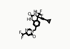 O=C1Nc2cc(Cn3cnc(C(F)F)cc3=O)ccc2C(C#CC2CC2)(C(F)(F)F)N1